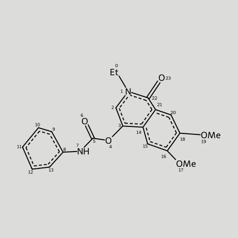 CCn1cc(OC(=O)Nc2ccccc2)c2cc(OC)c(OC)cc2c1=O